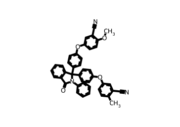 COc1ccc(Oc2ccc(C3(c4ccc(Oc5ccc(C)c(C#N)c5)cc4)c4ccccc4C(=O)N3c3ccccc3)cc2)cc1C#N